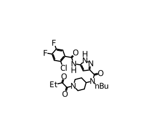 CCCCN(C(=O)c1cc(NC(=O)c2cc(F)c(F)cc2Cl)[nH]n1)C1CCN(C(=O)C(=O)CC)CC1